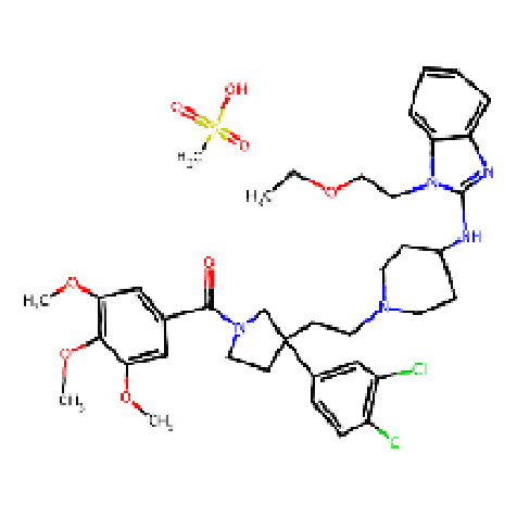 CCOCCn1c(NC2CCN(CCC3(c4ccc(Cl)c(Cl)c4)CCN(C(=O)c4cc(OC)c(OC)c(OC)c4)C3)CC2)nc2ccccc21.CS(=O)(=O)O